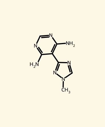 Cn1cnc(-c2c(N)ncnc2N)n1